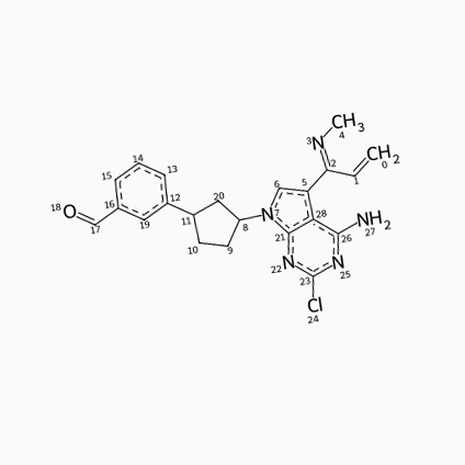 C=C/C(=N\C)c1cn(C2CCC(c3cccc(C=O)c3)C2)c2nc(Cl)nc(N)c12